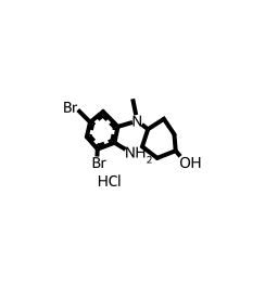 CN(c1cc(Br)cc(Br)c1N)C1CCC(O)CC1.Cl